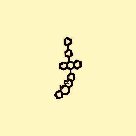 CCC1=Nc2ccccc2CCC1Cc1ccc(-c2c3ccccc3c(-c3ccc(-c4ccccc4)cc3)c3ccccc23)cc1